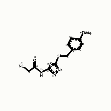 COc1ccc(CSc2nnc(NC(=O)CC#N)s2)cc1